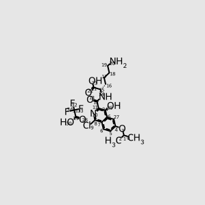 CC(C)Oc1ccc2c(Cl)nc(C(=O)N[C@@H](CCCCN)C(=O)O)c(O)c2c1.O=C(O)C(F)(F)F